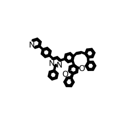 C1=C\c2ccc(-c3cc(-c4ccc(-c5cccnc5)cc4)nc(-c4ccccc4)n3)cc2-c2cc3oc4ccccc4c3cc2Oc2ccccc2-c2ccccc2/1